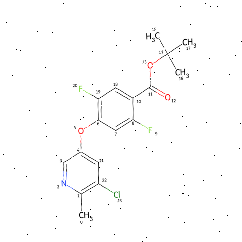 Cc1ncc(Oc2cc(F)c(C(=O)OC(C)(C)C)cc2F)cc1Cl